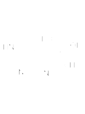 CC(C)(O)c1ncnc2[nH]ccc12